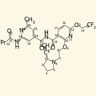 C=C=C1CCCN1CCOc1nc(OCC(F)(F)F)ccc1C(=O)NC(C)c1cc(C)nc(NC(=O)C(C)C)c1